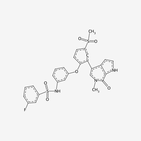 Cn1cc(-c2cc(S(C)(=O)=O)ccc2Oc2cccc(NS(=O)(=O)c3cccc(F)c3)c2)c2cc[nH]c2c1=O